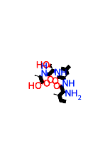 CC[C@H](C)[C@H](N)C(=O)N[C@@H](CC(C)C)C(=O)N[C@@H](CO)C(=O)N[C@@H](C)C(=O)O